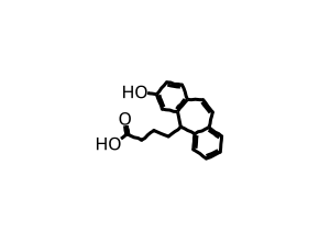 O=C(O)CCCC1c2ccccc2C=Cc2ccc(O)cc21